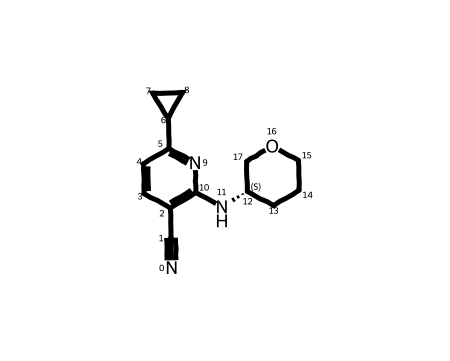 N#Cc1ccc(C2CC2)nc1N[C@H]1CCCOC1